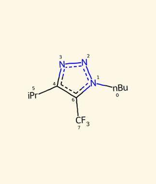 CCCCn1nnc(C(C)C)c1C(F)(F)F